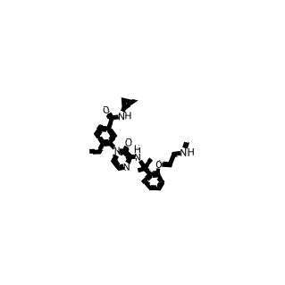 CCc1ccc(C(=O)NC2CC2)cc1-n1ccnc(NC(C)(C)c2ccccc2OCCNC)c1=O